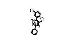 CN(N)C1=C(CCC2C=CC=CC2)COc2ccc(Cl)cc21